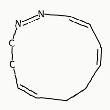 C1=CCCC=CCCN=NC=C1